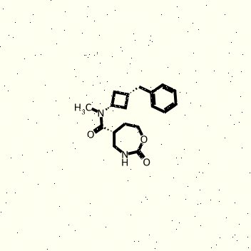 CN(C(=O)[C@@H]1CCOC(=O)NC1)[C@H]1C[C@@H](Cc2ccccc2)C1